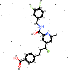 Cc1cc(C(F)CCc2ccc(C(=O)O)cc2)cc(C(=O)NCc2ccc(F)c(F)c2)n1